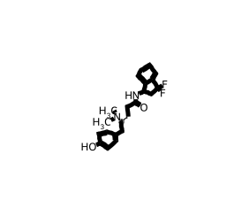 CN(C)[C@H](CCC(=O)NC1CC(F)(F)c2ccccc21)Cc1ccc(O)cc1